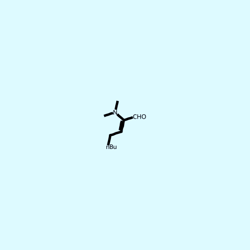 CCCCCC=C(C=O)N(C)C